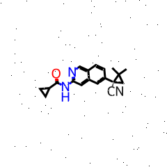 CC1(C)C[C@@]1(C#N)c1ccc2cnc(NC(=O)C3CC3)cc2c1